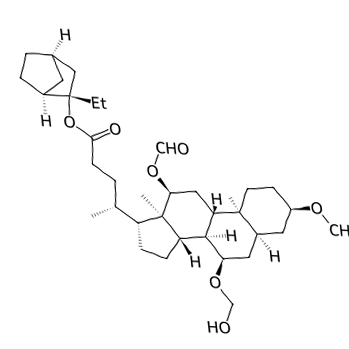 CC[C@]1(OC(=O)CC[C@@H](C)[C@H]2CC[C@H]3[C@@H]4[C@H](OCO)C[C@@H]5C[C@H](OC=O)CC[C@]5(C)[C@H]4C[C@H](OC=O)[C@]23C)C[C@@H]2CC[C@H]1C2